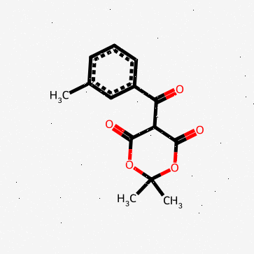 Cc1cccc(C(=O)C2C(=O)OC(C)(C)OC2=O)c1